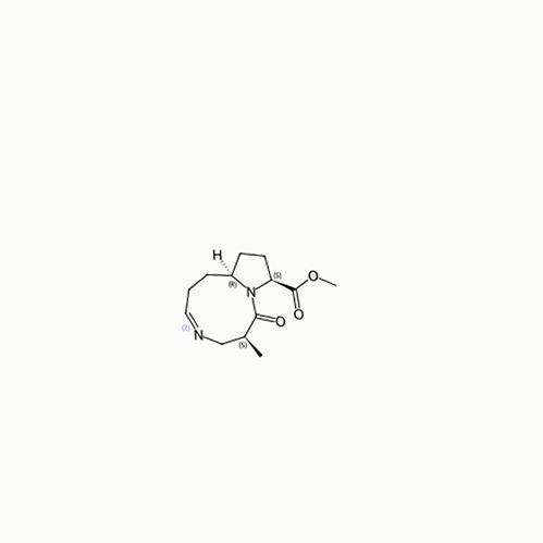 COC(=O)[C@@H]1CC[C@@H]2CC/C=N\C[C@H](C)C(=O)N21